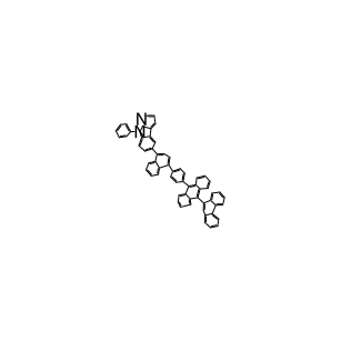 c1ccc(-n2c3ccc(-c4ccc(-c5ccc(-c6c7ccccc7c(-c7cc8ccccc8c8ccccc78)c7ccccc67)cc5)c5ccccc45)cc3c3cccnc32)cc1